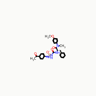 COc1ccc(N(C)C(=O)[C@H](Cc2ccccc2)NC(=O)N[S+]([O-])Nc2ccc(C(C)=O)cc2)cc1